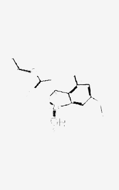 CCOC(=O)C[C@H]1OB(O)c2cc(OC)cc(C)c21